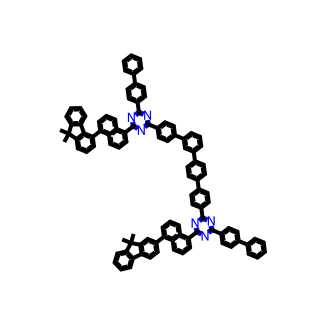 CC1(C)c2ccccc2-c2ccc(-c3cccc4c(-c5nc(-c6ccc(-c7ccccc7)cc6)nc(-c6ccc(-c7ccc(-c8cccc(-c9ccc(-c%10nc(-c%11ccc(-c%12ccccc%12)cc%11)nc(-c%11cccc%12c(-c%13cccc%14c%13-c%13ccccc%13C%14(C)C)cccc%11%12)n%10)cc9)c8)cc7)cc6)n5)cccc34)cc21